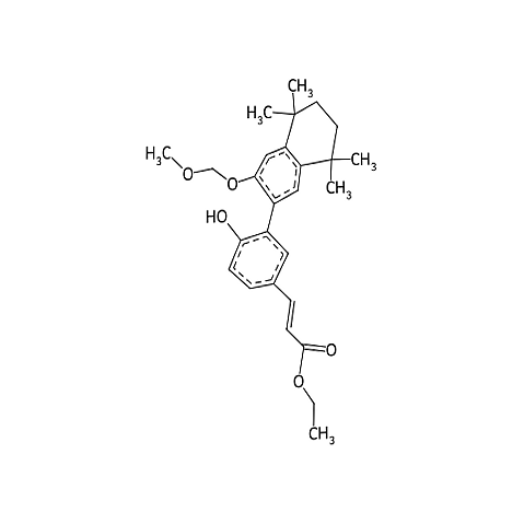 CCOC(=O)/C=C/c1ccc(O)c(-c2cc3c(cc2OCOC)C(C)(C)CCC3(C)C)c1